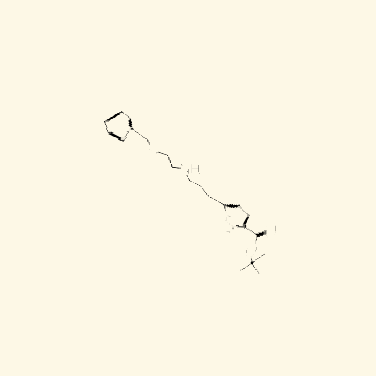 CC(C)(C)OC(=O)c1ccc(CCCNCCSCc2ccccc2)s1